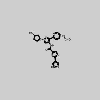 O=C(Nc1cn([C@H]2CC[C@@H](O)C2)nc1-c1ccccn1)c1csc(-c2cn[nH]c2)n1.O=CO